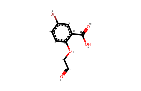 O=CCOc1ccc(Br)cc1C(=O)O